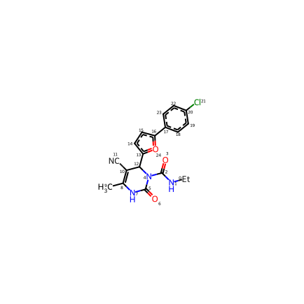 CCNC(=O)N1C(=O)NC(C)=C(C#N)C1c1ccc(-c2ccc(Cl)cc2)o1